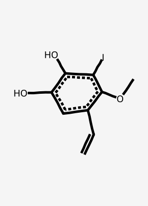 C=Cc1cc(O)c(O)c(I)c1OC